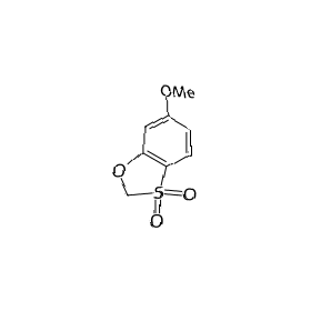 COc1ccc2c(c1)OCS2(=O)=O